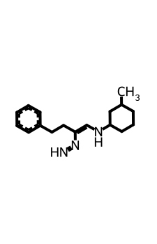 CC1CCCC(N/C=C(/CCc2ccccc2)N=N)C1